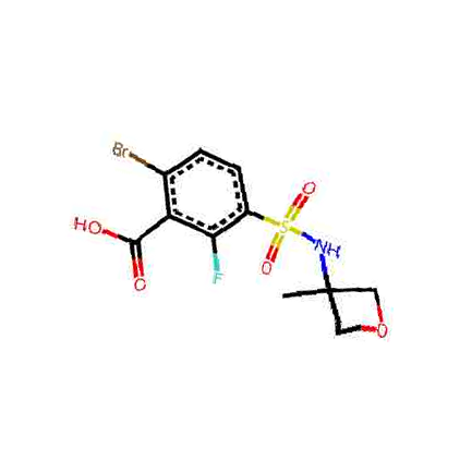 CC1(NS(=O)(=O)c2ccc(Br)c(C(=O)O)c2F)COC1